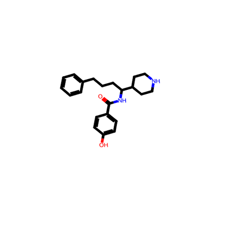 O=C(NC(CCCc1ccccc1)C1CCNCC1)c1ccc(O)cc1